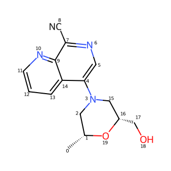 C[C@@H]1CN(c2cnc(C#N)c3ncccc23)C[C@H](CO)O1